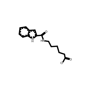 O=C(Cl)CCCCCNC(=O)c1cc2ccccc2[nH]1